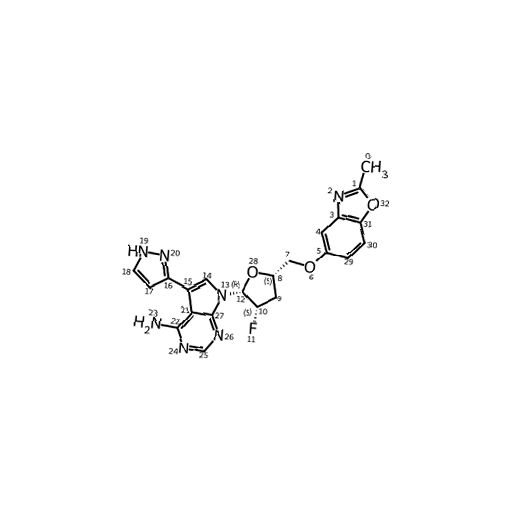 Cc1nc2cc(OC[C@@H]3C[C@H](F)[C@H](n4cc(-c5cc[nH]n5)c5c(N)ncnc54)O3)ccc2o1